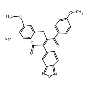 COc1ccc(C(=O)/C(Cc2cccc(OC)c2)=C(/C(=O)[O-])c2ccc3nonc3c2)cc1.[Na+]